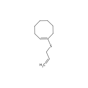 C=CCSC1=CCCCCCC1